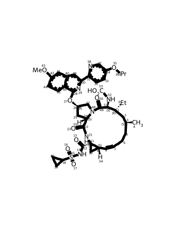 CC[C@@H]1C[C@@H](C)CCC=C[C@@H]2C[C@@]2(C(=O)NS(=O)(=O)C2CC2)NC(=O)[C@@H]2C[C@@H](Oc3nc(-c4ccc(OC(C)C)cn4)cc4cc(OC)ccc34)CN2C(=O)[C@H]1NC(=O)O